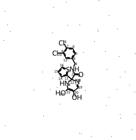 O=C(NCc1ccc(Cl)c(Cl)c1)C1(c2cccs2)N=CC(O)=C(O)N1